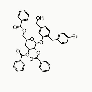 CCc1ccc(Cc2ccc(CO)cc2O[C@@H]2O[C@H](COC(=O)c3ccccc3)C[C@H](OC(=O)c3ccccc3)[C@H]2OC(=O)c2ccccc2)cc1